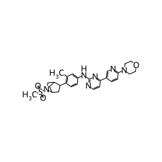 Cc1cc(Nc2nccc(-c3ccc(N4CCOCC4)nc3)n2)ccc1C1CC2CC1CN2S(C)(=O)=O